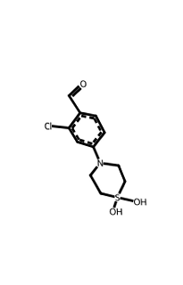 O=Cc1ccc(N2CCS(O)(O)CC2)cc1Cl